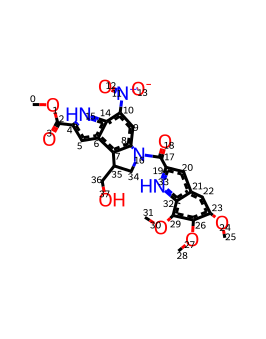 COC(=O)c1cc2c3c(cc([N+](=O)[O-])c2[nH]1)N(C(=O)c1cc2cc(OC)c(OC)c(OC)c2[nH]1)CC3CO